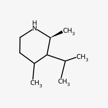 CC(C)C1C(C)CCN[C@H]1C